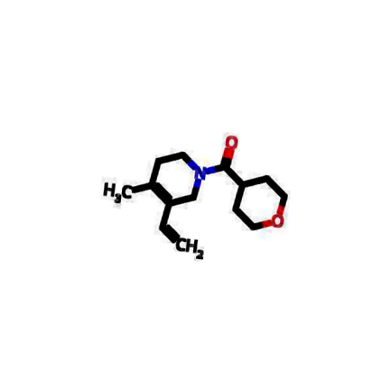 C=CC1=C(C)CCN(C(=O)C2CCOCC2)C1